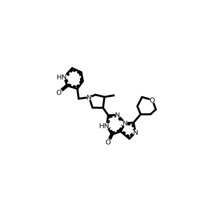 CC1CN(Cc2ccc[nH]c2=O)CC1c1nn2c(C3CCOCC3)ncc2c(=O)[nH]1